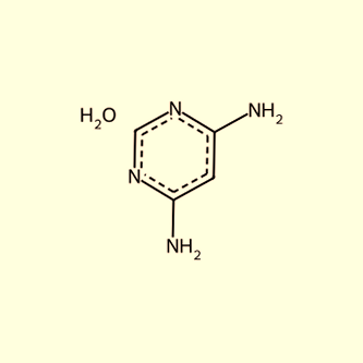 Nc1cc(N)ncn1.O